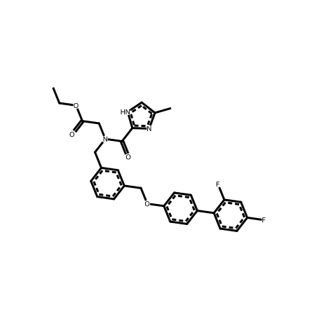 CCOC(=O)CN(Cc1cccc(COc2ccc(-c3ccc(F)cc3F)cc2)c1)C(=O)c1nc(C)c[nH]1